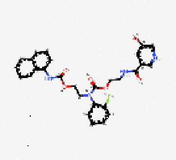 O=C(Nc1cccc2ccccc12)OCCN(C(=O)OCCNC(=O)c1cncc(Br)c1)c1ccccc1F